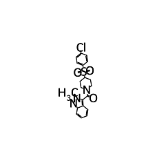 Cn1nc2ccccc2c1C(=O)N1CCC(S(=O)(=O)c2ccc(Cl)cc2)CC1